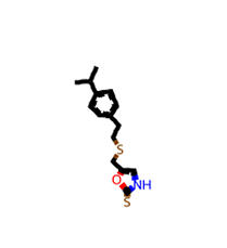 CC(C)c1ccc(CCSCc2c[nH]c(=S)o2)cc1